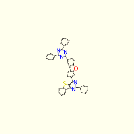 C1=CCC(c2nc(-c3ccc4c(c3)oc3ccc(-c5nc(-c6ccccc6)nc(-c6ccccc6)n5)cc34)c3sc4ccccc4c3n2)C=C1